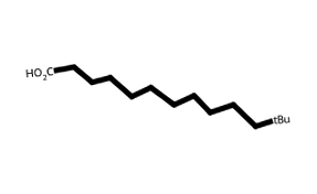 [CH2]C([CH2])([CH2])CCCCCCCCCCC(=O)O